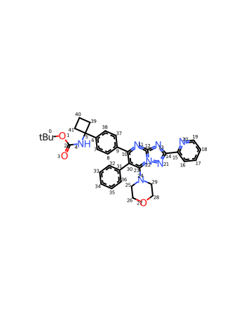 CC(C)(C)OC(=O)NC1(c2ccc(-c3nc4nc(-c5ccccn5)nn4c(N4CCOCC4)c3-c3ccccc3)cc2)CCC1